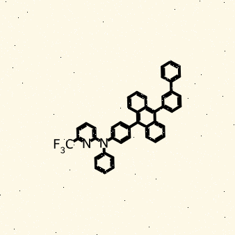 FC(F)(F)c1cccc(N(c2ccccc2)c2ccc(-c3c4ccccc4c(-c4cccc(-c5ccccc5)c4)c4ccccc34)cc2)n1